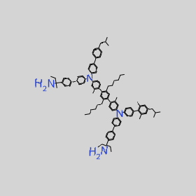 CCCCCCc1cc(-c2ccc(N(c3ccc(-c4ccc(C(N)(CC)CC)cc4)cc3)c3ccc(-c4c(C)cc(CC(C)C)cc4C)cc3)cc2C)c(CCCCCC)cc1-c1ccc(N(c2ccc(-c3ccc(CC(C)C)cc3)cc2)c2ccc(-c3ccc(C(C)(N)CC)cc3)cc2)cc1C